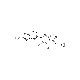 Cn1cc2cc(-n3nc4nnn(CC5CC5)c4c(Cl)c3=O)ccc2n1